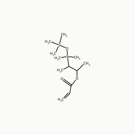 C=CC(=O)OC(C)C(C)[Si](C)(C)O[Si](C)(C)C